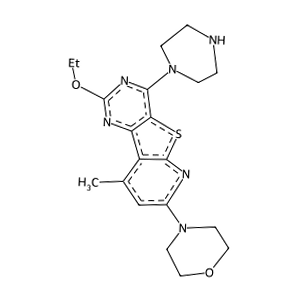 CCOc1nc(N2CCNCC2)c2sc3nc(N4CCOCC4)cc(C)c3c2n1